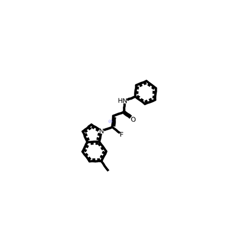 Cc1ccc2ccn(/C(F)=C/C(=O)Nc3ccccc3)c2c1